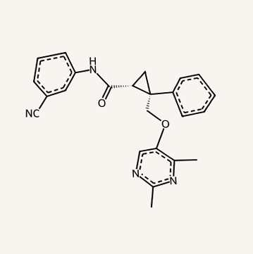 Cc1ncc(OC[C@@]2(c3ccccc3)C[C@H]2C(=O)Nc2cccc(C#N)c2)c(C)n1